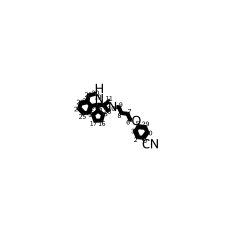 N#Cc1ccc(OCCCCN2CC(C3(C4CCCC4)NCCc4ccccc43)C2)cc1